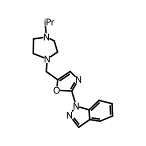 CC(C)N1CCN(Cc2cnc(-n3ncc4ccccc43)o2)CC1